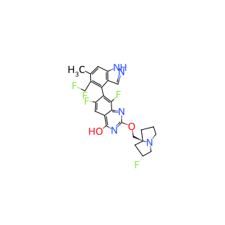 Cc1cc2[nH]ncc2c(-c2c(F)cc3c(O)nc(OC[C@@]45CCCN4C[C@H](F)C5)nc3c2F)c1C(F)F